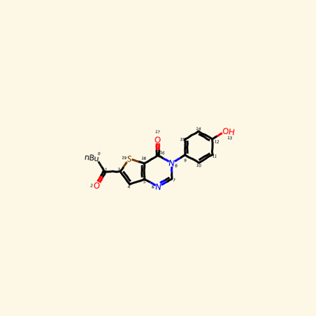 CCCCC(=O)c1cc2ncn(-c3ccc(O)cc3)c(=O)c2s1